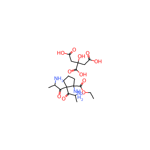 CCOC(=O)C1(N)CCCC1(C(=O)C(C)N)C(=O)C(C)N.O=C(O)CC(O)(CC(=O)O)C(=O)O